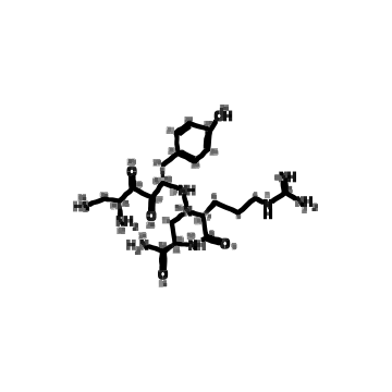 N=C(N)NCCC[C@H]1C(=O)N[C@@H](C(N)=O)CN1N[C@@H](Cc1ccc(O)cc1)C(=O)C(=O)[C@@H](N)CS